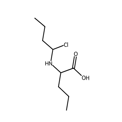 CCCC(Cl)NC(CCC)C(=O)O